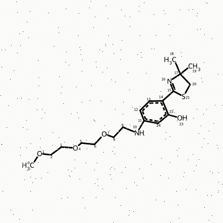 COCCOCCOCCNc1ccc(C2=NC(C)(C)CS2)c(O)c1